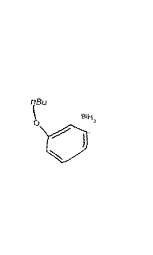 CCCCOc1c[c]ccc1.[BiH3]